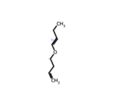 C=CC[CH]O/C=C/CC